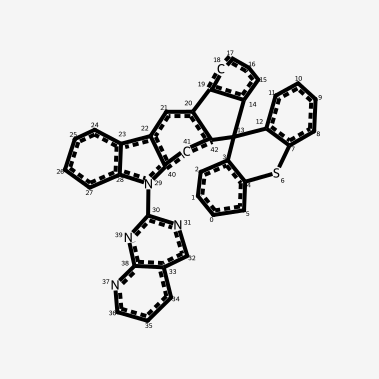 c1ccc2c(c1)Sc1ccccc1C21c2ccccc2-c2cc3c4ccccc4n(-c4ncc5cccnc5n4)c3cc21